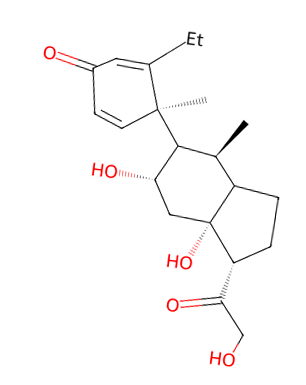 CCC1=CC(=O)C=C[C@]1(C)C1[C@@H](C)C2CC[C@H](C(=O)CO)[C@@]2(O)C[C@@H]1O